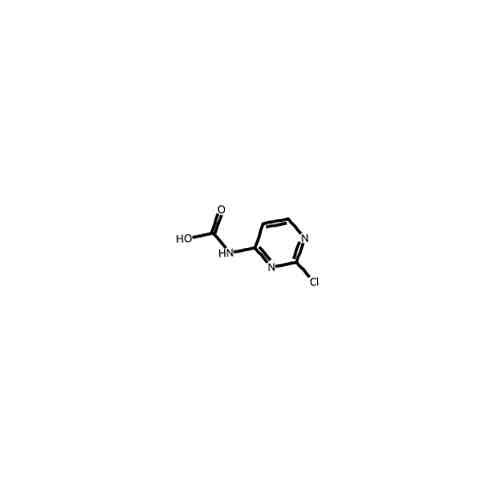 O=C(O)Nc1ccnc(Cl)n1